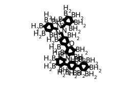 Bc1c(B)c(B)c(-c2nc(-c3c(B)c(B)c(B)c(B)c3B)nc(-c3c(B)c(B)c4c(oc5c(B)c(B)c(-n6c7c(B)c(B)c(B)c(B)c7c7c(B)c(B)c(-c8c(B)c(B)c(B)c(B)c8B)c(B)c76)c(B)c54)c3B)n2)c(B)c1B